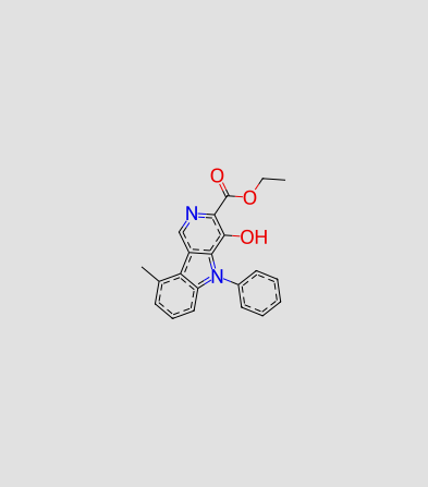 CCOC(=O)c1ncc2c3c(C)cccc3n(-c3ccccc3)c2c1O